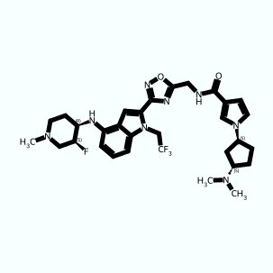 CN1CC[C@@H](Nc2cccc3c2cc(-c2noc(CNC(=O)c4ccn([C@H]5CC[C@H](N(C)C)C5)c4)n2)n3CC(F)(F)F)[C@@H](F)C1